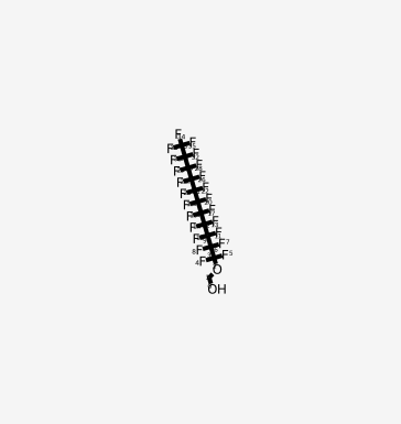 OCOC(F)(F)C(F)(F)C(F)(F)C(F)(F)C(F)(F)C(F)(F)C(F)(F)C(F)(F)C(F)(F)C(F)(F)C(F)(F)F